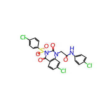 O=C(Cn1c(=O)n(S(=O)(=O)c2ccc(Cl)cc2)c(=O)c2ccc(Cl)cc21)Nc1ccc(Cl)cc1